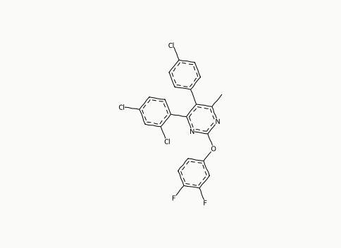 Cc1nc(Oc2ccc(F)c(F)c2)nc(-c2ccc(Cl)cc2Cl)c1-c1ccc(Cl)cc1